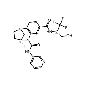 O=C(N[C@@H](CO)C(F)(F)F)c1ccc2c(n1)N(C(=O)Nc1cccnc1)[C@H]1CCN2C1